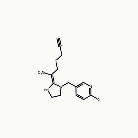 C#CCSCC(=C1NCCN1Cc1ccc(Cl)nc1)[N+](=O)[O-]